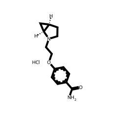 Cl.NC(=O)c1ccc(OCCN2CC[C@@H]3C[C@@H]32)cc1